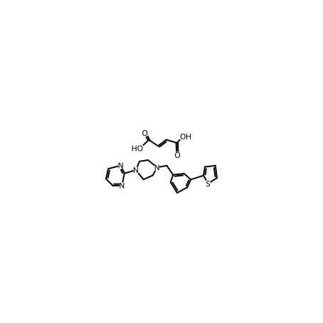 O=C(O)C=CC(=O)O.c1cnc(N2CCN(Cc3cccc(-c4cccs4)c3)CC2)nc1